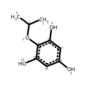 CC(C)Oc1c(O)cc(O)cc1O